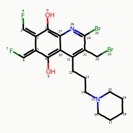 Oc1c(=CF)c(=CF)c(O)c2c(CCCN3CCCCC3)c(CBr)c(Br)nc12